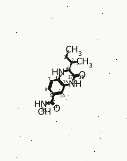 CCC(C)[C@@H]1Nc2ccc(C(=O)NO)cc2NC1=O